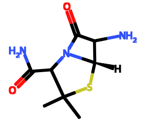 CC1(C)S[C@H]2C(N)C(=O)N2C1C(N)=O